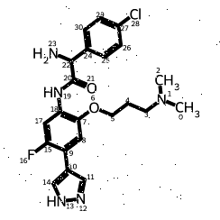 CN(C)CCCOc1cc(-c2cn[nH]c2)c(F)cc1NC(=O)C(N)c1ccc(Cl)cc1